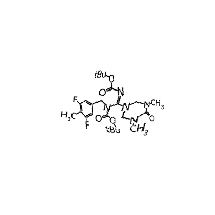 Cc1c(F)cc(CN(C(=O)OC(C)(C)C)/C(=N\C(=O)OC(C)(C)C)N2CN(C)C(=O)N(C)C2)cc1F